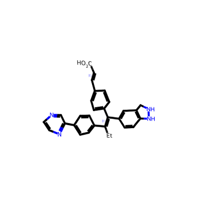 CC/C(=C(/c1ccc(/C=C/C(=O)O)cc1)c1ccc2c(c1)CNN2)c1ccc(-c2cnccn2)cc1